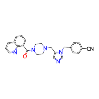 N#Cc1ccc(Cn2cncc2CN2CCN(C(=O)c3cccc4cccnc34)CC2)cc1